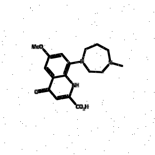 COc1cc(N2CCCN(C)CC2)c2[nH]c(C(=O)O)cc(=O)c2c1